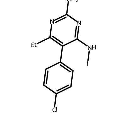 CCc1nc(N)nc(NI)c1-c1ccc(Cl)cc1